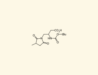 CC1CC(=O)N(CC(CC(=O)O)NC(=O)OC(C)(C)C)C1=O